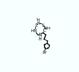 Brc1ccc(CCCC2CNCCNCCNCCN2)cc1